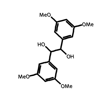 COc1cc(OC)cc(C(O)C(O)c2cc(OC)cc(OC)c2)c1